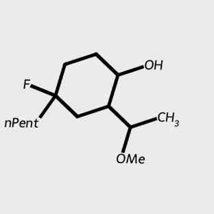 CCCCCC1(F)CCC(O)C(C(C)OC)C1